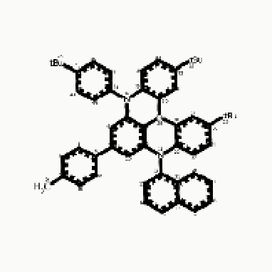 Cc1ccc(-c2cc3c4c(c2)N(c2cccc5ccccc25)c2ccc(C(C)(C)C)cc2B4c2cc(C(C)(C)C)ccc2N3c2ccc(C(C)(C)C)cc2)cc1